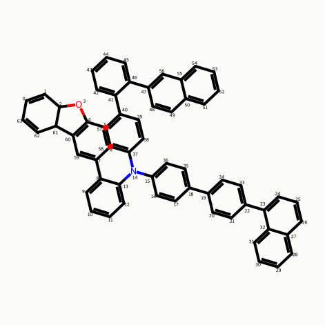 C1=CC2Oc3ccc(-c4ccccc4N(c4ccc(-c5ccc(-c6cccc7ccccc67)cc5)cc4)c4ccc(-c5ccccc5-c5ccc6ccccc6c5)cc4)cc3C2C=C1